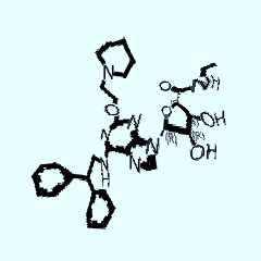 CCNC(=O)[C@H]1O[C@@H](n2cnc3c(NCC(c4ccccc4)c4ccccc4)nc(OCCN4CCCCC4)nc32)[C@H](O)[C@@H]1O